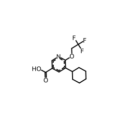 O=C(O)c1cnc(OCC(F)(F)F)c(C2CCCCC2)c1